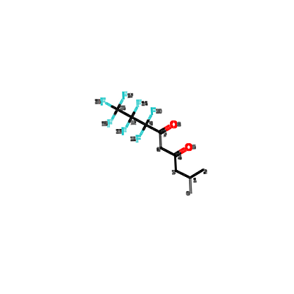 CC(C)CC(=O)CC(=O)C(F)(F)C(F)(F)C(F)(F)F